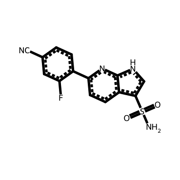 N#Cc1ccc(-c2ccc3c(S(N)(=O)=O)c[nH]c3n2)c(F)c1